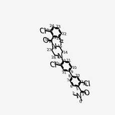 CN(C)C(=O)c1ccc(-c2ccc(N3CCN(C(=O)c4c(F)cccc4Cl)CC3)c(Cl)c2)cc1Cl